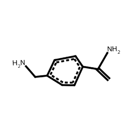 C=C(N)c1ccc(CN)cc1